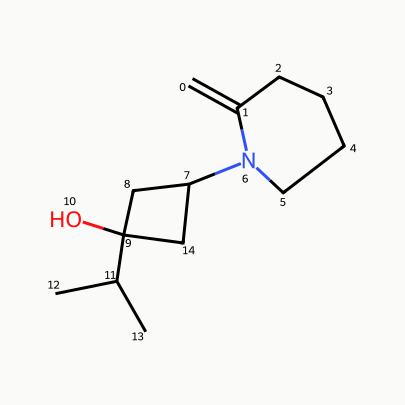 C=C1CCCCN1C1CC(O)(C(C)C)C1